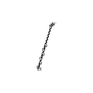 CCOCCOCCOCCOCCOCCOCCCCCCCCCCCCN=[N+]=[N-]